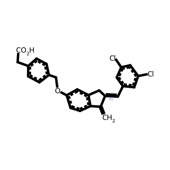 C=C1/C(=C/c2cc(Cl)cc(Cl)c2)Cc2cc(OCc3ccc(CC(=O)O)cc3)ccc21